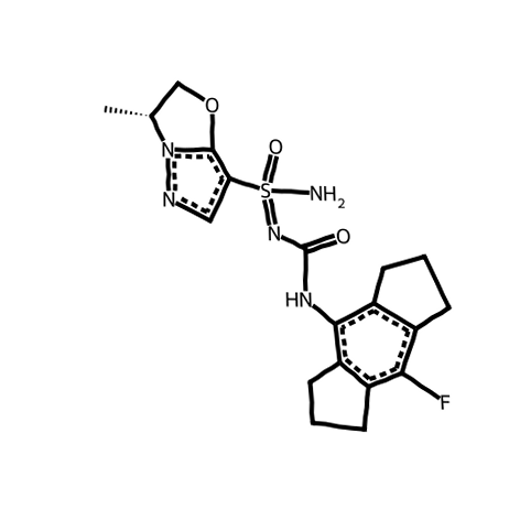 C[C@@H]1COc2c(S(N)(=O)=NC(=O)Nc3c4c(c(F)c5c3CCC5)CCC4)cnn21